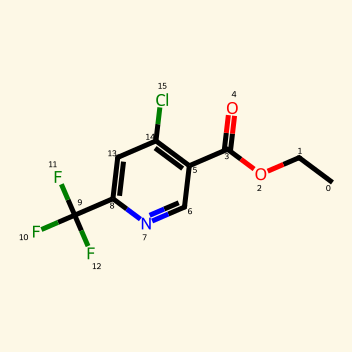 CCOC(=O)c1cnc(C(F)(F)F)cc1Cl